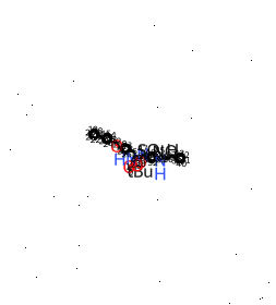 CC(C)(C)OC(=O)N[C@@H](Cc1ccc(OCc2ccc(-c3ccccc3)cc2)cc1)C(=O)N(c1ccc(NCCCc2ccccc2)c([N+](=O)[O-])c1)S(=O)(=O)O